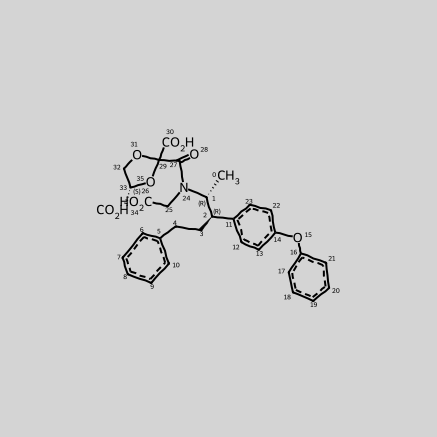 C[C@H]([C@H](CCc1ccccc1)c1ccc(Oc2ccccc2)cc1)N(CC(=O)O)C(=O)C1(C(=O)O)OC[C@@H](C(=O)O)O1